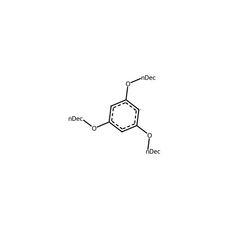 CCCCCCCCCCOc1[c]c(OCCCCCCCCCC)cc(OCCCCCCCCCC)c1